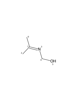 CC(C)=NCO